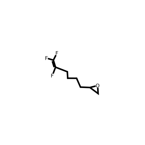 FC(F)=C(F)CCCCC1CO1